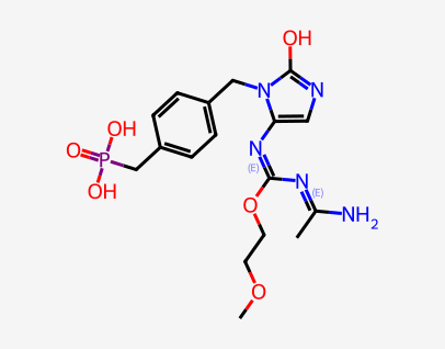 COCCOC(/N=C(\C)N)=N/c1cnc(O)n1Cc1ccc(CP(=O)(O)O)cc1